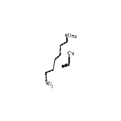 C=CC#N.CCCCCCCCCCCCN